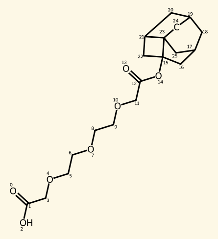 O=C(O)COCCOCCOCC(=O)OC12CC3CC4CC(C1)C2(C4)C3